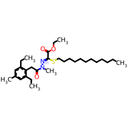 CCCCCCCCCCCCS/C(=N\N(C)C(=O)Cc1c(CC)cc(C)cc1CC)C(=O)OCC